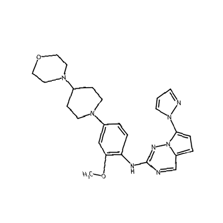 COc1cc(N2CCC(N3CCOCC3)CC2)ccc1Nc1ncc2ccc(-n3cccn3)n2n1